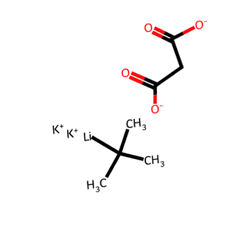 O=C([O-])CC(=O)[O-].[K+].[K+].[Li][C](C)(C)C